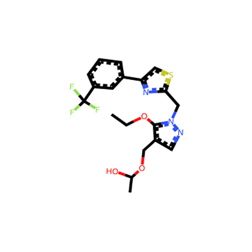 CCOc1c(COC(C)O)cnn1Cc1nc(-c2cccc(C(F)(F)F)c2)cs1